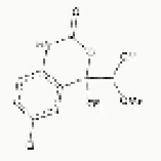 COC(O)[C@]1(C(F)(F)F)OC(=O)Nc2ccc(Cl)cc21